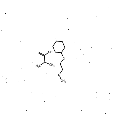 CC(C)C(=O)O.COCCOC1CCCCC1